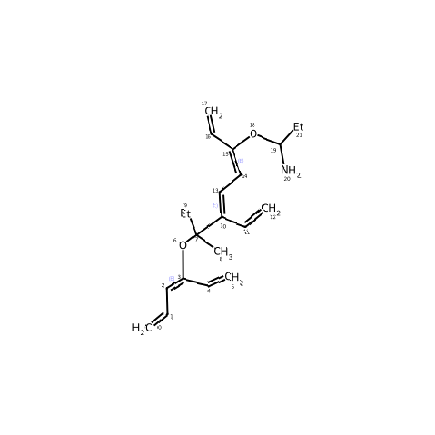 C=C/C=C(\C=C)OC(C)(CC)/C(C=C)=C/C=C(\C=C)OC(N)CC